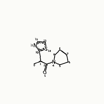 CC(C(=O)N1CCCCC1)c1nccs1